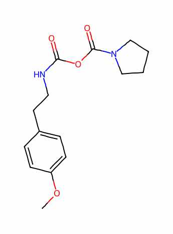 COc1ccc(CCNC(=O)OC(=O)N2CCCC2)cc1